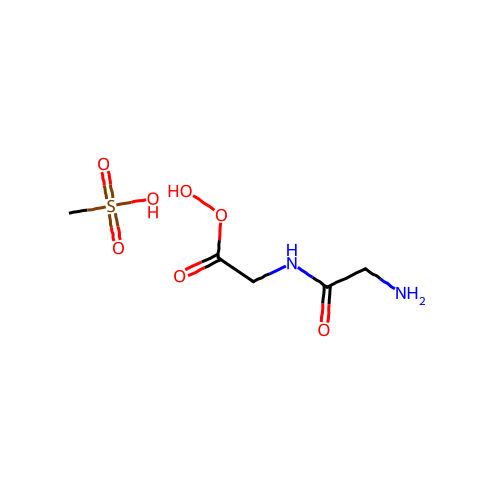 CS(=O)(=O)O.NCC(=O)NCC(=O)OO